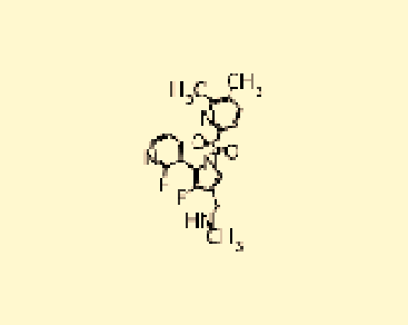 CNCc1cn(S(=O)(=O)c2ccc(C)c(C)n2)c(-c2cccnc2F)c1F